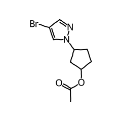 CC(=O)OC1CCC(n2cc(Br)cn2)C1